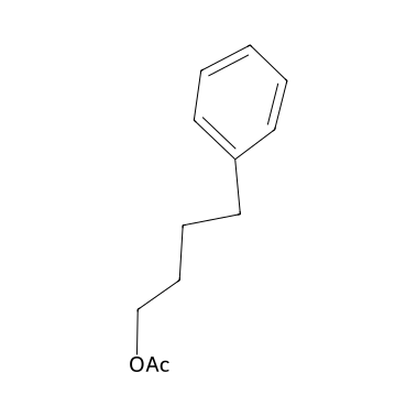 [CH2]C(=O)OCCCCc1ccccc1